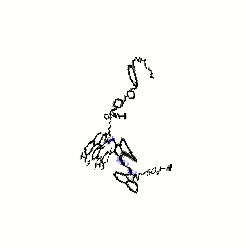 CC1(C)c2c(ccc3ccccc23)N(CCCCCC(=O)NCCOCCOCCOCCN)C1/C=C/C1=C(Cl)C(=C/C=c2\c3cccc4cccc(c43)n2CCCS(=O)(=O)O)/c2ccccc21